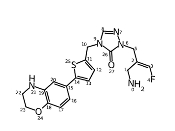 NC/C(=C\F)Cn1ncn(Cc2ccc(-c3ccc4c(c3)NCCO4)s2)c1=O